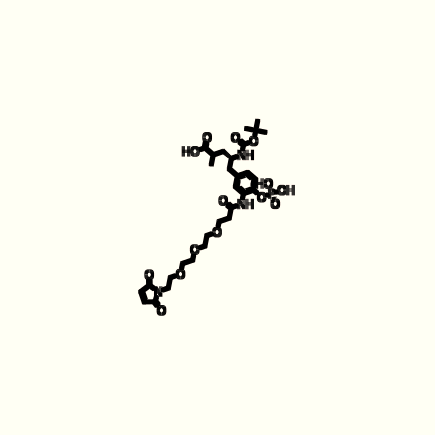 CC(C[C@H](Cc1ccc(OP(=O)(O)O)c(NC(=O)CCOCCOCCOCCN2C(=O)C=CC2=O)c1)NC(=O)OC(C)(C)C)C(=O)O